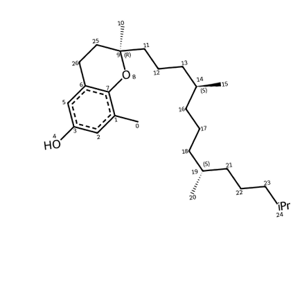 Cc1cc(O)cc2c1O[C@](C)(CCC[C@@H](C)CCC[C@@H](C)CCCC(C)C)CC2